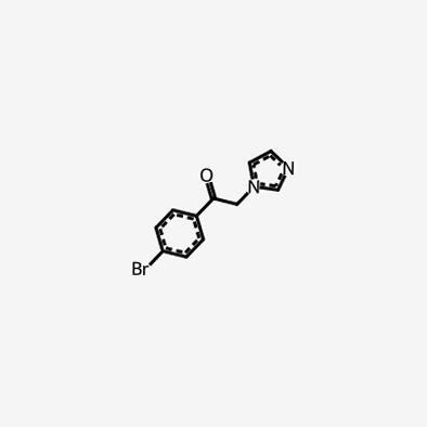 O=C(Cn1ccnc1)c1ccc(Br)cc1